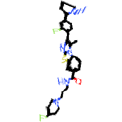 Cc1c(-c2ccc(C3CCCN3)cc2F)nc2sc3cc(C(=O)NCCCN4CCC(F)CC4)ccc3n12